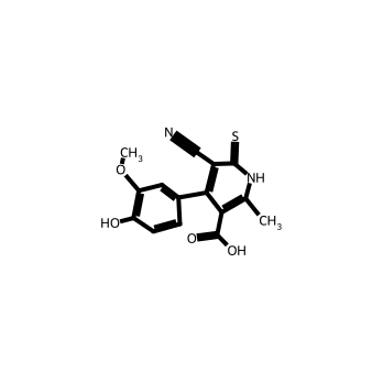 COc1cc(-c2c(C(=O)O)c(C)[nH]c(=S)c2C#N)ccc1O